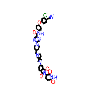 N#Cc1ccc(O[C@H]2CC[C@H](NC(=O)c3cnc(N4CCC(CN5CCC6(C5)CN(c5ccc7c(c5)C(=O)N(C5CCC(=O)NC5=O)C7=O)C6)CC4)cn3)CC2)cc1Cl